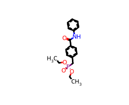 CCOP(=O)(Cc1ccc(C(=O)Nc2ccccc2)cc1)OCC